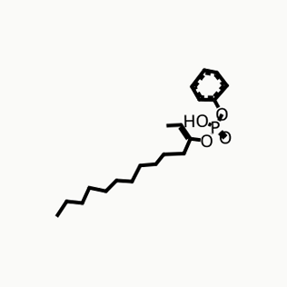 CC=C(CCCCCCCCCCC)OP(=O)(O)Oc1ccccc1